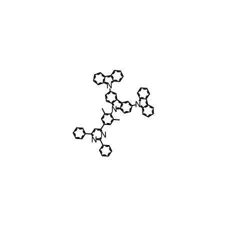 Cc1cc(-c2cc(-c3ccccc3)nc(-c3ccccc3)n2)cc(C)c1-n1c2ccc(-n3c4ccccc4c4ccccc43)cc2c2cc(-n3c4ccccc4c4ccccc43)ccc21